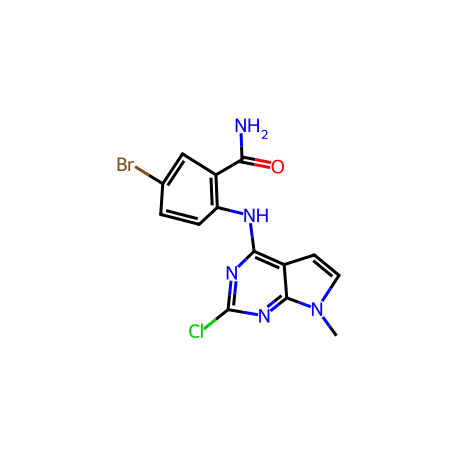 Cn1ccc2c(Nc3ccc(Br)cc3C(N)=O)nc(Cl)nc21